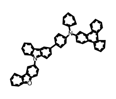 c1ccc(N(c2ccc(-c3ccc4c(c3)c3ccccc3n4-c3ccc4oc5ccccc5c4c3)cc2)c2ccc3c4ccccc4c4ccccc4c3c2)cc1